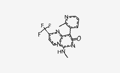 CNc1nc(=O)c(-c2cccnc2C)c2nc(C(F)(F)F)ccn12